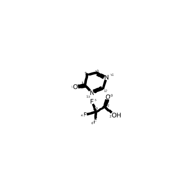 O=C(O)C(F)(F)F.O=C1CC=NC=N1